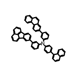 c1cc(-c2ccc3c(c2)-c2cccc4cccc-3c24)cc(N(c2ccc(-c3cccc4ccccc34)cc2)c2cccc(-c3ccc4c(ccc5ccccc54)c3)c2)c1